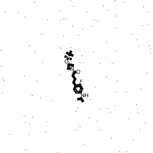 CC(C)Nc1ccc(CCCC(=O)N2CC(O[Si](C)(C)C(C)(C)C)C2)c(F)c1